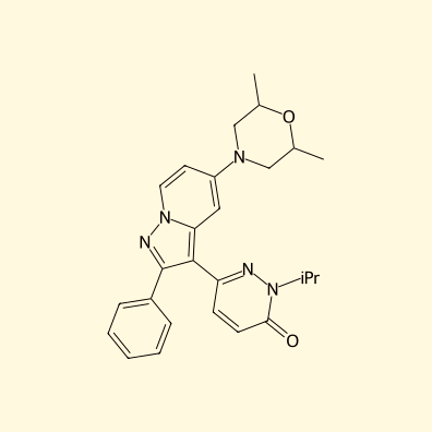 CC1CN(c2ccn3nc(-c4ccccc4)c(-c4ccc(=O)n(C(C)C)n4)c3c2)CC(C)O1